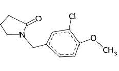 COc1ccc(CN2CCCC2=O)cc1Cl